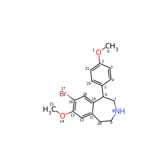 COc1ccc(C2CNCCc3cc(OC)c(Br)cc32)cc1